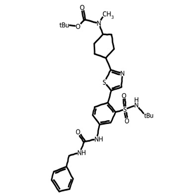 CN(C(=O)OC(C)(C)C)C1CCC(c2ncc(-c3ccc(NC(=O)NCc4ccccc4)cc3S(=O)(=O)NC(C)(C)C)s2)CC1